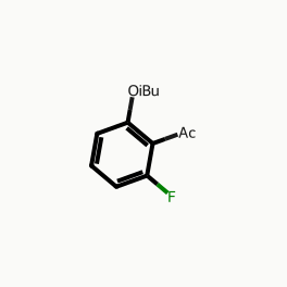 CC(=O)c1c(F)cccc1OCC(C)C